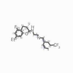 C\C=C/C(=C\N=C\CNC(=O)[C@@H](C)Cc1ccc(CC)cc1F)CCC(F)(F)F